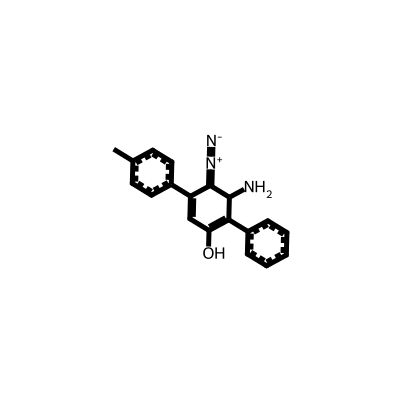 Cc1ccc(C2=CC(O)=C(c3ccccc3)C(N)C2=[N+]=[N-])cc1